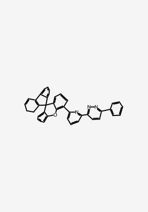 C1=CC2=C(CC1)C1(c3ccccc3Oc3c(-c4cccc(-c5ccc(-c6ccccc6)nn5)n4)cccc31)c1ccccc12